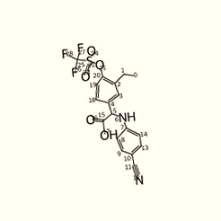 CCc1cc(C(Nc2ccc(C#N)cc2)C(=O)O)ccc1OS(=O)(=O)C(F)(F)F